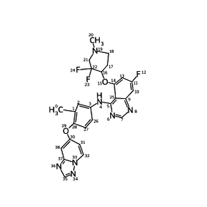 Cc1cc(Nc2ncnc3cc(F)cc(OC4CCN(C)CC4(F)F)c23)ccc1Oc1ccn2ncnc2c1